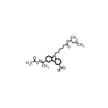 COCC(C)OC(=O)CCCCCn1c2ccc(/C(C)=N/OC(C)=O)cc2c2cc([N+](=O)[O-])ccc21